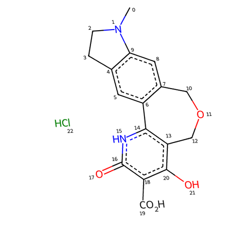 CN1CCc2cc3c(cc21)COCc1c-3[nH]c(=O)c(C(=O)O)c1O.Cl